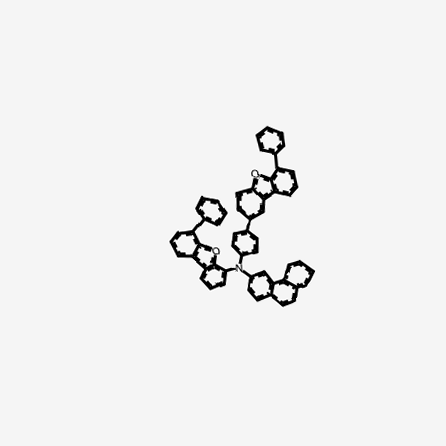 c1ccc(-c2cccc3c2oc2ccc(-c4ccc(N(c5ccc6ccc7ccccc7c6c5)c5cccc6c5oc5c(-c7ccccc7)cccc56)cc4)cc23)cc1